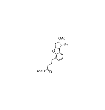 CCC1C(OC(C)=O)CC2Oc3c(CCCC(=O)OC)cccc3C21